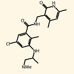 CNCC(C)Nc1cc(Cl)cc(C(=O)NCc2c(C)cc(C)[nH]c2=O)c1C